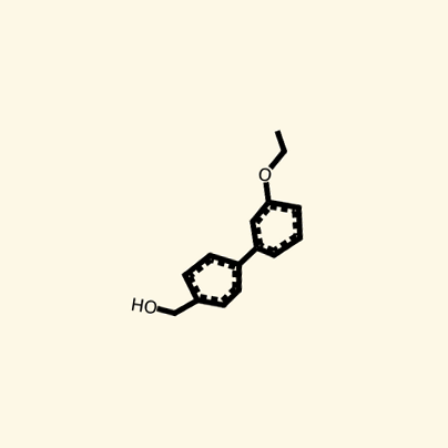 CCOc1cccc(-c2ccc(CO)cc2)c1